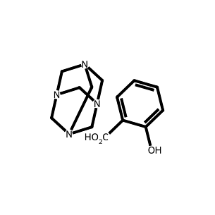 C1N2CN3CN1CN(C2)C3.O=C(O)c1ccccc1O